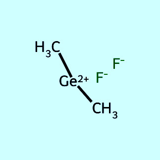 [CH3][Ge+2][CH3].[F-].[F-]